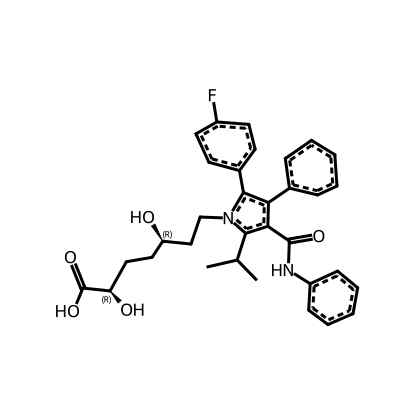 CC(C)c1c(C(=O)Nc2ccccc2)c(-c2ccccc2)c(-c2ccc(F)cc2)n1CC[C@H](O)CC[C@@H](O)C(=O)O